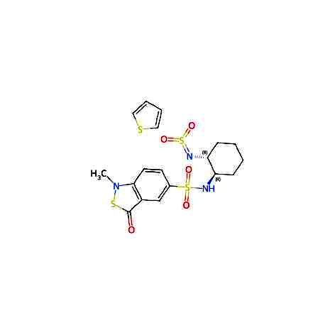 Cn1sc(=O)c2cc(S(=O)(=O)N[C@@H]3CCCC[C@H]3N=S(=O)=O)ccc21.c1ccsc1